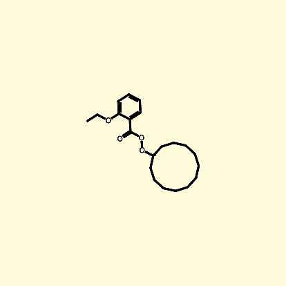 CCOc1ccccc1C(=O)OO[C]1CCCCCCCCCCC1